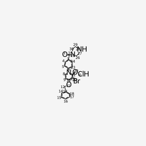 Cl.O=C(c1ccc(-n2ccc(OCc3ccccc3)c(Br)c2=O)cc1)N1CCNCC1